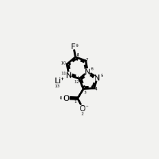 O=C([O-])c1cnn2cc(F)cnc12.[Li+]